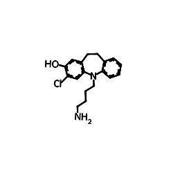 NCCCCN1c2ccccc2CCc2cc(O)c(Cl)cc21